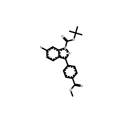 COC(=O)c1ccc(-c2nn(C(=O)OC(C)(C)C)c3cc(F)ccc23)cc1